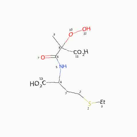 CCSCCC(NC(=O)C(C)(OO)C(=O)O)C(=O)O